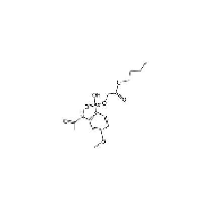 CCCCOC(=O)CO[As](=O)(O)c1ccc(OC)cc1NC(C)=O